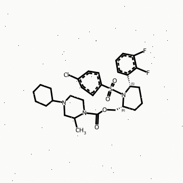 CC1CN(C2CCCCC2)CCN1C(=O)OC[C@H]1CCC[C@@H](c2cccc(F)c2F)N1S(=O)(=O)c1ccc(Cl)cc1